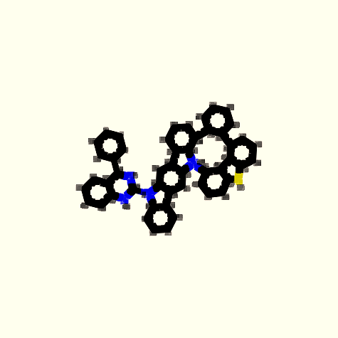 c1ccc(-c2nc(-n3c4ccccc4c4cc5c(cc43)c3cccc4c6ccccc6c6cccc7sc8cccc(c8c76)n5c43)nc3ccccc23)cc1